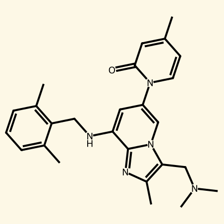 Cc1ccn(-c2cc(NCc3c(C)cccc3C)c3nc(C)c(CN(C)C)n3c2)c(=O)c1